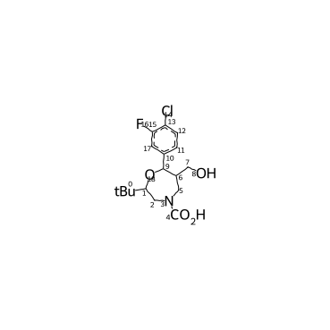 CC(C)(C)C1CN(C(=O)O)CC(CO)C(c2ccc(Cl)c(F)c2)O1